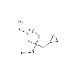 CCCC[Si]([CH]C1CC1)(OC)OC